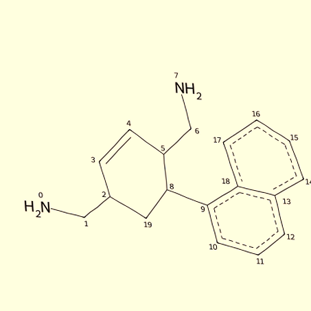 NCC1C=CC(CN)C(c2cccc3ccccc23)C1